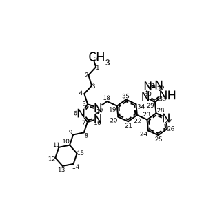 CCCCCc1nc(CCC2CCCCC2)nn1Cc1ccc(-c2cccnc2-c2nnn[nH]2)cc1